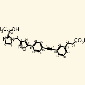 C[C@H](O)c1nccn1Cc1cc(-c2ccc(C#Cc3cccc(CCC(=O)O)c3)cc2)on1